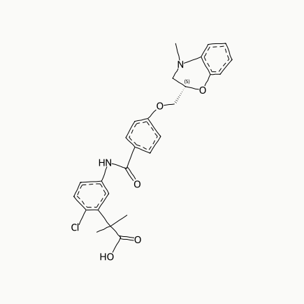 CN1C[C@@H](COc2ccc(C(=O)Nc3ccc(Cl)c(C(C)(C)C(=O)O)c3)cc2)Oc2ccccc21